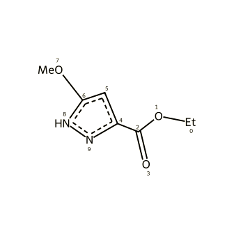 CCOC(=O)c1cc(OC)[nH]n1